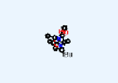 CC(C)(C)c1ccc(N2c3cc4ccccc4c4c3B(c3c2sc2cc5ccccc5cc32)N(c2ccc(-c3ccccc3)cc2)c2cc3c(cc2-4)Oc2ccccc2O3)c(-c2ccccc2)c1